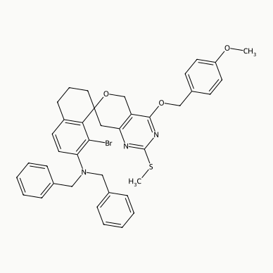 COc1ccc(COc2nc(SC)nc3c2COC2(CCCc4ccc(N(Cc5ccccc5)Cc5ccccc5)c(Br)c42)C3)cc1